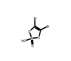 O=P1(O)OC(Br)=C(Br)O1